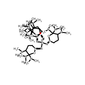 CN(C)C1CC[P](=N[PH](N=[P]2CCC(N(C)C)C(N(C)C)(N(C)C)O2)(N=[P]2CCC(N(C)C)C(N(C)C)(N(C)C)O2)N=[P]2CCC(N(C)C)C(N(C)C)(N(C)C)O2)OC1(N(C)C)N(C)C